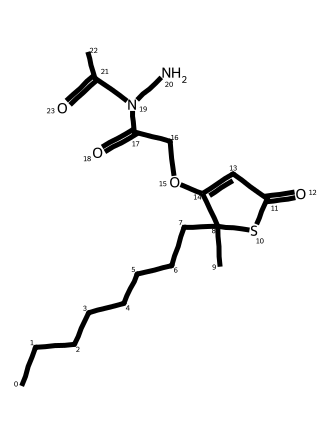 CCCCCCCCC1(C)SC(=O)C=C1OCC(=O)N(N)C(C)=O